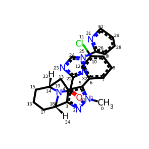 Cn1nc2c(c1-c1cccc(Cl)c1)C[C@H]1CCC[C@@H]2N1C(=O)c1ncn(-c2ccccn2)n1